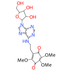 COC1=C(CCNc2ncnc3c2ncn3C2OC(CO)C(O)C2O)C(=O)C(OC)=C(OC)C1=O